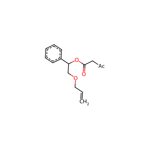 C=CCOCC(OC(=O)CC(C)=O)c1ccccc1